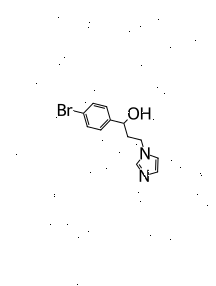 OC(CCn1ccnc1)c1ccc(Br)cc1